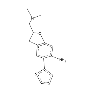 CN(C)CC1Cc2cc(-c3cccs3)c(N)cc2O1